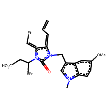 C=C/C=c1\c(=C/CC)n(C(CCC)CC(=O)O)c(=O)n1Cc1cn(C)c2ccc(OC)cc12